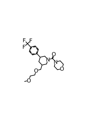 COCCOCC1CC(c2ccc(C(F)(F)F)cc2)CN(C(=O)N2CCOCC2)C1